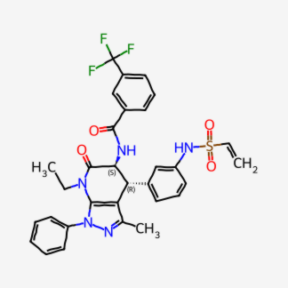 C=CS(=O)(=O)Nc1cccc([C@@H]2c3c(C)nn(-c4ccccc4)c3N(CC)C(=O)[C@H]2NC(=O)c2cccc(C(F)(F)F)c2)c1